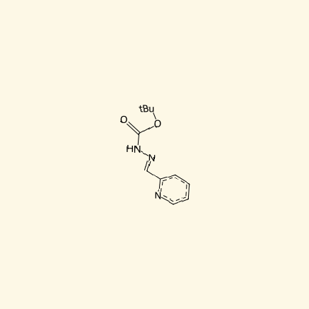 CC(C)(C)OC(=O)NN=Cc1ccccn1